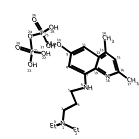 CCN(CC)CCCNc1cc(OC)cc2c(C)cc(C)nc12.O=P(O)(O)OP(=O)(O)O